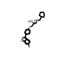 O[C@@H](CNCC1CCCCC1)COc1ccc(-c2noc3cc(F)ccc23)cc1